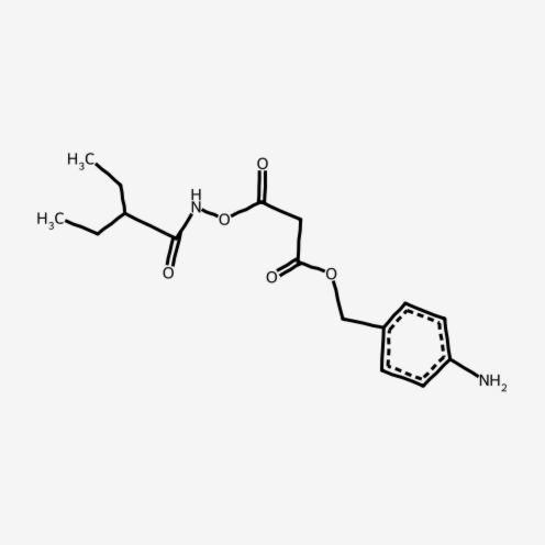 CCC(CC)C(=O)NOC(=O)CC(=O)OCc1ccc(N)cc1